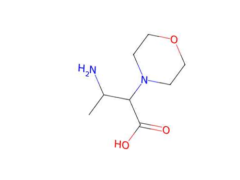 CC(N)C(C(=O)O)N1CCOCC1